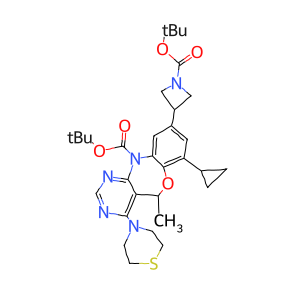 CC1Oc2c(C3CC3)cc(C3CN(C(=O)OC(C)(C)C)C3)cc2N(C(=O)OC(C)(C)C)c2ncnc(N3CCSCC3)c21